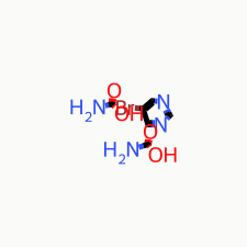 Brc1cncnc1.NC(=O)O.NC(=O)O